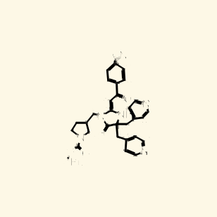 CCCCOC(=O)N1CCC(CN2C(=O)C(Cc3ccncc3)(Cc3ccncc3)NC2=CC(=O)c2ccc(C#N)cc2)C1